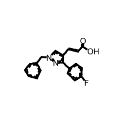 O=C(O)C=Cc1cn(Cc2ccccc2)nc1-c1ccc(F)cc1